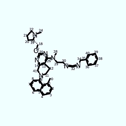 Cc1cccc2cccc(N3CCc4c(nc(OC[C@@H]5CCCN5C)nc4N(C)CCN=C=NCc4ccccc4)C3)c12